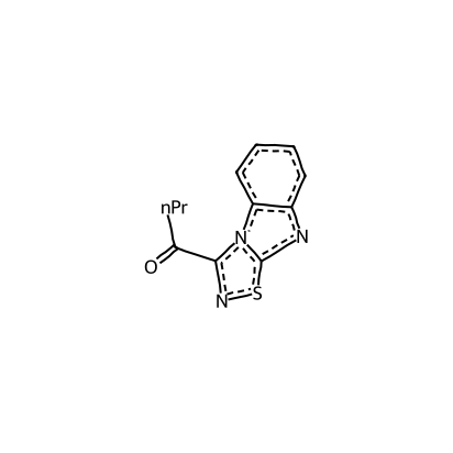 CCCC(=O)c1nsc2nc3ccccc3n12